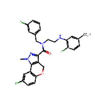 Cn1nc(C(=O)N(CCNc2cc(C(=O)O)ccc2F)Cc2cccc(F)c2)c2c1-c1cc(F)ccc1OC2